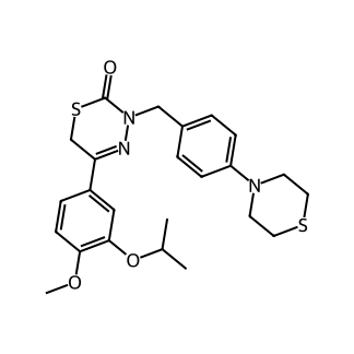 COc1ccc(C2=NN(Cc3ccc(N4CCSCC4)cc3)C(=O)SC2)cc1OC(C)C